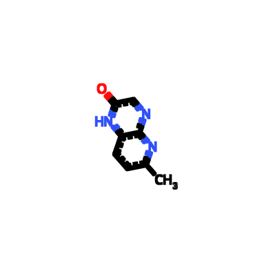 Cc1ccc2[nH]c(=O)cnc2n1